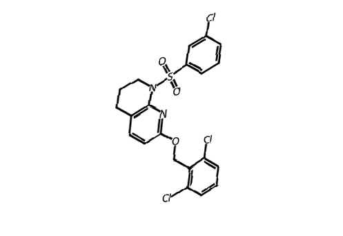 O=S(=O)(c1cccc(Cl)c1)N1CCCc2ccc(OCc3c(Cl)cccc3Cl)nc21